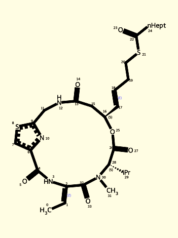 C/C=C1\NC(=O)c2csc(n2)CNC(=O)C[C@@H](/C=C/CCSC(=O)CCCCCCC)OC(=O)[C@H](C(C)C)N(C)C1=O